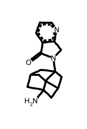 NC12CC3CC4(N5Cc6ncccc6C5=O)CC(C1)C24C3